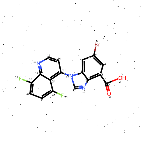 O=C(O)c1cc(Br)cc2c1ncn2-c1ccnc2c(F)ccc(F)c12